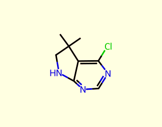 CC1(C)CNc2ncnc(Cl)c21